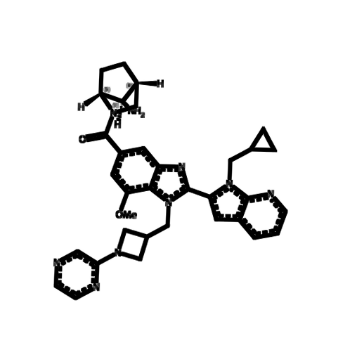 COc1cc(C(=O)N2C[C@H]3CC[C@@H]2[C@@H]3N)cc2nc(-c3cc4cccnc4n3CC3CC3)n(CC3CN(c4cnccn4)C3)c12